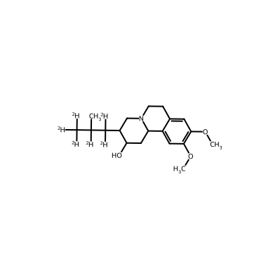 [2H]C([2H])([2H])C([2H])(C)C([2H])([2H])C1CN2CCc3cc(OC)c(OC)cc3C2CC1O